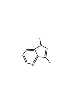 Cc1cn(C)c2cc[c]nc12